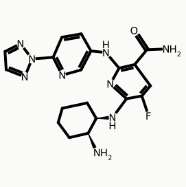 NC(=O)c1cc(F)c(N[C@@H]2CCCC[C@@H]2N)nc1Nc1ccc(-n2nccn2)nc1